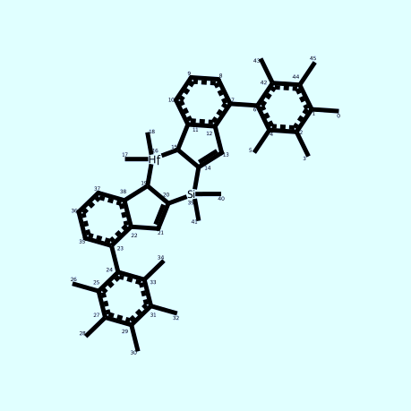 Cc1c(C)c(C)c(-c2cccc3c2C=C2[CH]3[Hf]([CH3])([CH3])[CH]3C(=Cc4c(-c5c(C)c(C)c(C)c(C)c5C)cccc43)[Si]2(C)C)c(C)c1C